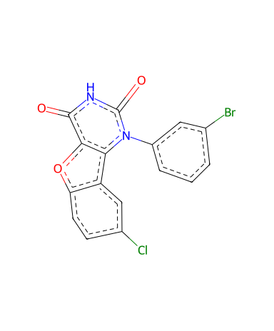 O=c1[nH]c(=O)n(-c2cccc(Br)c2)c2c1oc1ccc(Cl)cc12